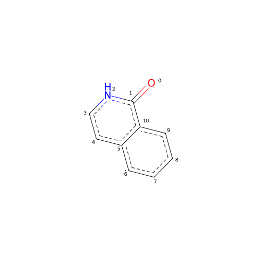 O=c1[nH]ccc2[c]cccc12